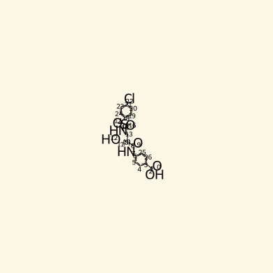 O=C(O)c1ccc(NC(=O)[C@H](CO)CNS(=O)(=O)c2ccc(Cl)cc2)cc1